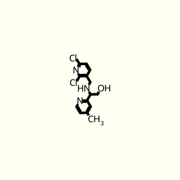 Cc1ccnc(C(CO)NCc2ccc(Cl)nc2Cl)c1